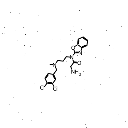 CN(CCCN(C(=O)CN)c1nc2ccccc2o1)Cc1ccc(Cl)c(Cl)c1